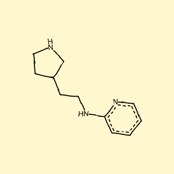 c1ccc(NCCC2CCNC2)nc1